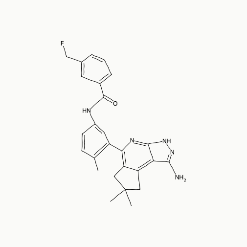 Cc1ccc(NC(=O)c2cccc(CF)c2)cc1-c1nc2[nH]nc(N)c2c2c1CC(C)(C)C2